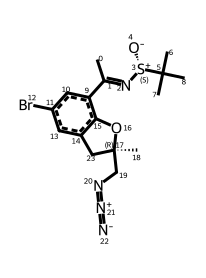 CC(=N[S@+]([O-])C(C)(C)C)c1cc(Br)cc2c1O[C@@](C)(CN=[N+]=[N-])C2